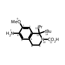 COc1cc2c(cc1N)CCN(C(=O)O)C2(C(C)C)C(C)(C)C